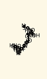 Cc1ncsc1-c1ccc(CNC(=O)[C@@H]2C[C@@H](O)CN2C(=O)C(NC(=O)CCC(=O)N2CCN(c3ccc(-c4cc(NC(=O)c5c[nH]c(=O)cc5C(F)(F)F)c(N5C[C@@H](C)N(C)[C@@H](C)C5)cc4F)cn3)CC2)C(C)(C)C)cc1